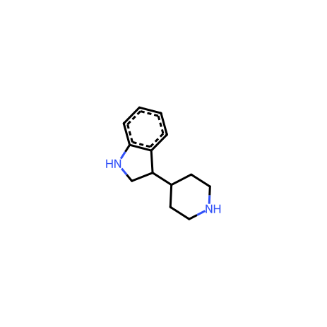 c1ccc2c(c1)NCC2C1CCNCC1